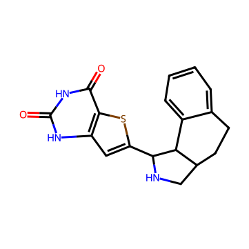 O=c1[nH]c(=O)c2sc(C3NCC4CCc5ccccc5C43)cc2[nH]1